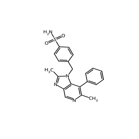 Cc1ncc2nc(C)n(Cc3ccc(S(N)(=O)=O)cc3)c2c1-c1ccccc1